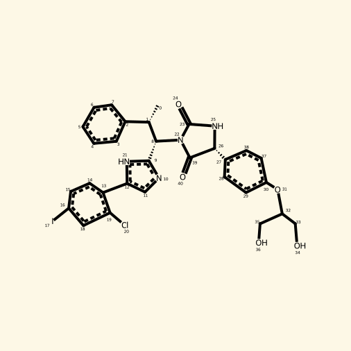 C[C@@H](c1ccccc1)[C@@H](c1ncc(-c2ccc(I)cc2Cl)[nH]1)N1C(=O)N[C@H](c2ccc(OC(CO)CO)cc2)C1=O